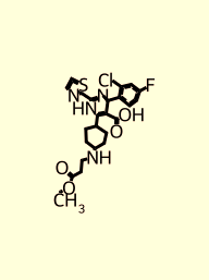 CCOC(=O)CCNC1CCC(C2=C(C(=O)O)C(c3ccc(F)cc3Cl)N=C(c3nccs3)N2)CC1